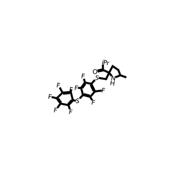 CC1CCC(CSc2c(F)c(F)c(Sc3c(F)c(F)c(F)c(F)c3F)c(F)c2F)(C(=O)C(C)C)N1